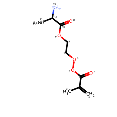 C=C(C)C(=O)OOCCOC(=O)C(N)NC(C)=O